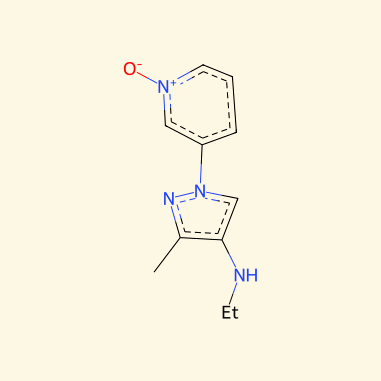 CCNc1cn(-c2ccc[n+]([O-])c2)nc1C